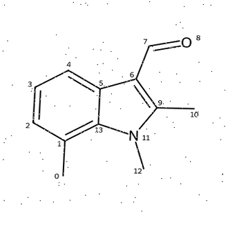 Cc1cccc2c(C=O)c(C)n(C)c12